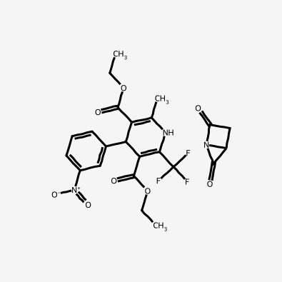 CCOC(=O)C1=C(C)NC(C(F)(F)F)=C(C(=O)OCC)C1c1cccc([N+](=O)[O-])c1.O=C1CC2C(=O)N12